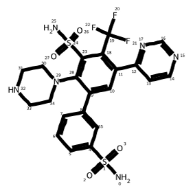 NS(=O)(=O)c1cccc(-c2cc(-c3ccncn3)c(C(F)(F)F)c(S(N)(=O)=O)c2N2CCNCC2)c1